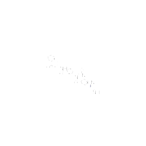 CN/C(=C(/C)C=N)c1ccc2c(c1)N(C)C(=O)[C@@H](C)N(Cc1cccc(C(=O)NCC34CC3c3cc(C)ccc3C(=O)O4)c1)C2=O